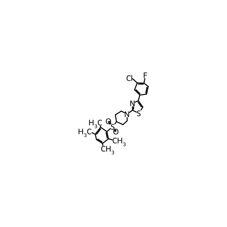 Cc1cc(C)c(C)c(S(=O)(=O)C2CCN(c3nc(-c4ccc(F)c(Cl)c4)cs3)CC2)c1C